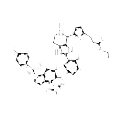 CCOC(=O)CCc1ccc(C2NCCc3[nH]c(-c4cc(Oc5c(F)cc6c(ccn6S(=O)(=O)c6ccc(C)cc6)c5S(C)(=O)=O)ccc4F)nc32)s1